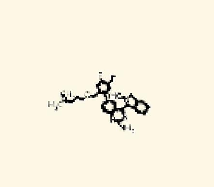 CN(C)CCCOCc1cc(F)c(F)cc1-c1ccc2nc(N)nc(C3c4ccccc4CN3C=O)c2c1